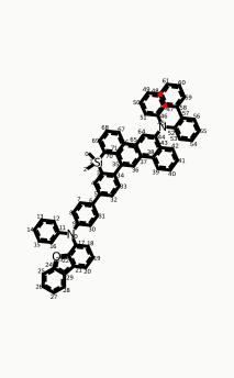 C[Si]1(C)c2cc(-c3ccc(N(c4ccccc4)c4cccc5c4oc4ccccc45)cc3)ccc2-c2cc3c4ccccc4c(N(c4ccccc4)c4ccccc4-c4ccccc4)cc3c3cccc1c23